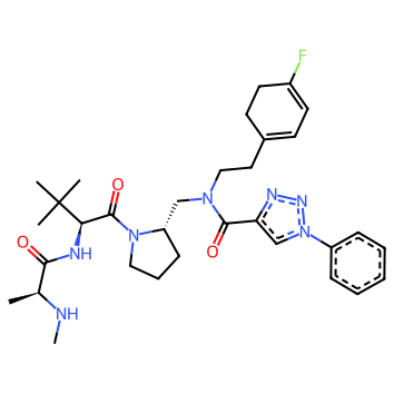 CN[C@@H](C)C(=O)N[C@H](C(=O)N1CCC[C@H]1CN(CCC1=CC=C(F)CC1)C(=O)c1cn(-c2ccccc2)nn1)C(C)(C)C